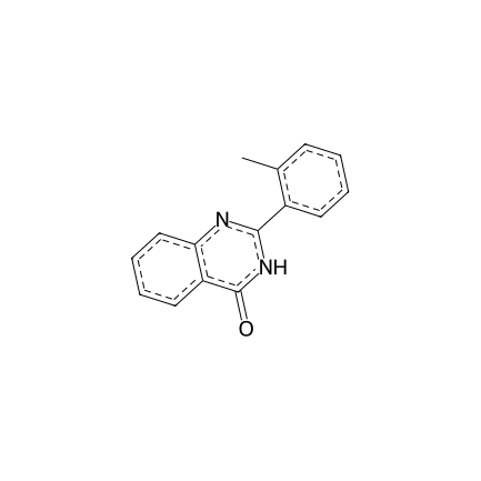 Cc1ccccc1-c1nc2ccccc2c(=O)[nH]1